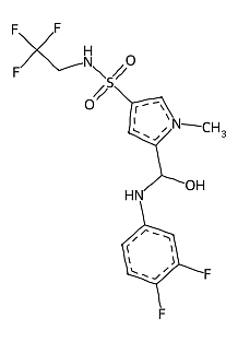 Cn1cc(S(=O)(=O)NCC(F)(F)F)cc1C(O)Nc1ccc(F)c(F)c1